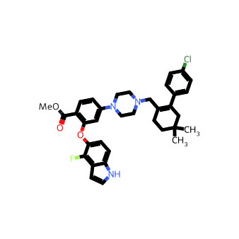 COC(=O)c1ccc(N2CCN(CC3=C(c4ccc(Cl)cc4)CC(C)(C)CC3)CC2)cc1Oc1ccc2[nH]ccc2c1F